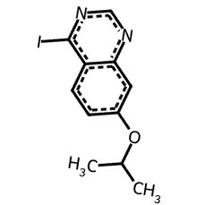 CC(C)Oc1ccc2c(I)ncnc2c1